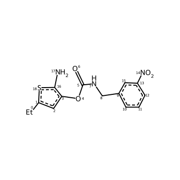 CCc1cc(OC(=O)NCc2cccc([N+](=O)[O-])c2)c(N)s1